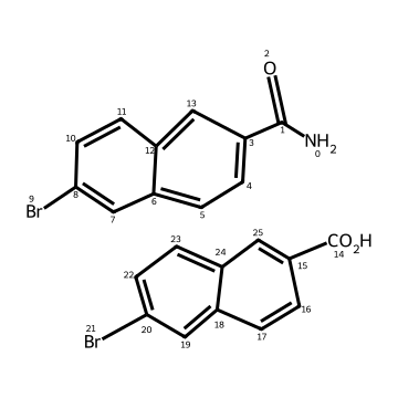 NC(=O)c1ccc2cc(Br)ccc2c1.O=C(O)c1ccc2cc(Br)ccc2c1